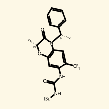 C[C@H]1Oc2cc(NC(=O)NC(C)(C)C)c(C(F)(F)F)cc2N([C@@H](C)c2ccccc2)C1=O